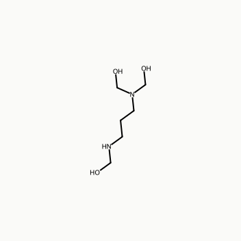 OCNCCCN(CO)CO